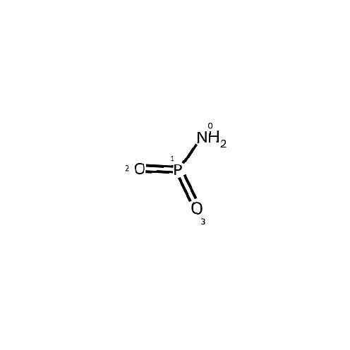 NP(=O)=O